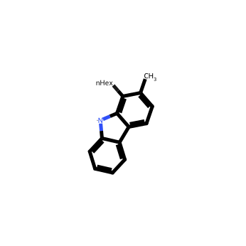 CCCCCCc1c(C)ccc2c1[N]c1ccccc1-2